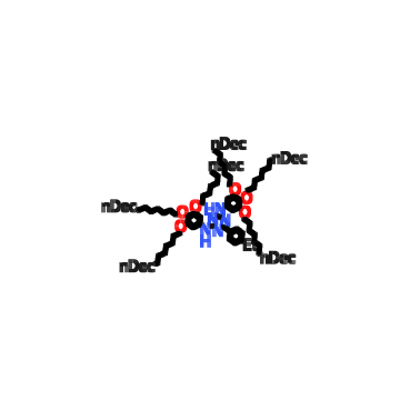 [CH2]Cc1ccc(-c2nc(Nc3cc(OCCCCCCCCCCCCCCCCC)c(OCCCCCCCCCCCCCCCCC)c(OCCCCCCCCCCCCCCCCC)c3)nc(Nc3cc(OCCCCCCCCCCCCCCCCC)c(OCCCCCCCCCCCCCCCCC)c(OCCCCCCCCCCCCCCCCC)c3)n2)cc1